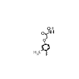 Cc1cc(OCC(=O)NO)ccc1F